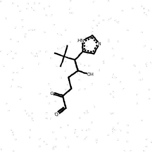 CC(C)(C)C(c1cnc[nH]1)C(O)CCC(=O)C=O